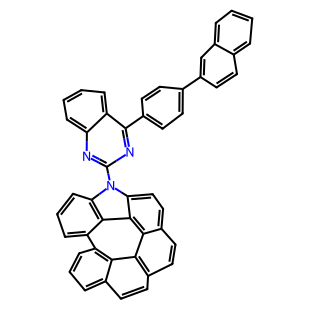 c1ccc2cc(-c3ccc(-c4nc(-n5c6cccc7c6c6c8c(ccc9ccc%10cccc-7c%10c98)ccc65)nc5ccccc45)cc3)ccc2c1